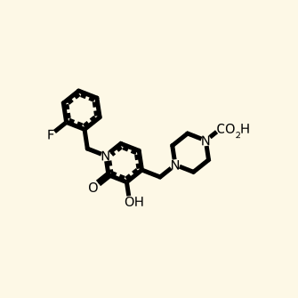 O=C(O)N1CCN(Cc2ccn(Cc3ccccc3F)c(=O)c2O)CC1